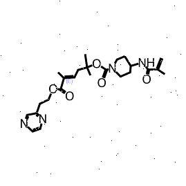 C=C(C)C(=O)NC1CCN(C(=O)OC(C)(C)C/C=C(\C)C(=O)OCCc2cnccn2)CC1